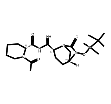 CC(=O)N1CCCC[C@@H]1C(=O)NC(=N)[C@@H]1CC[C@@H]2CN1C(=O)N2O[Si](C)(C)C(C)(C)C